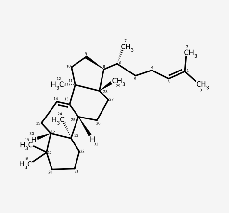 CC(C)=CCC[C@@H](C)[C@@H]1CC[C@]2(C)C3=CC[C@H]4C(C)(C)CCC[C@]4(C)[C@H]3CC[C@@]12C